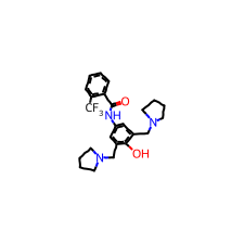 O=C(Nc1cc(CN2CCCC2)c(O)c(CN2CCCC2)c1)c1ccccc1C(F)(F)F